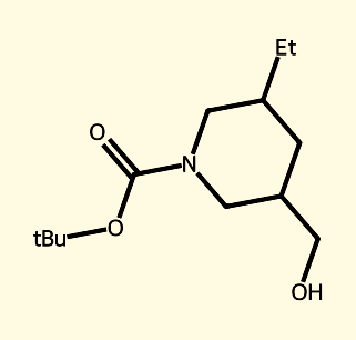 CCC1CC(CO)CN(C(=O)OC(C)(C)C)C1